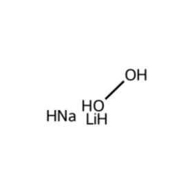 OO.[LiH].[NaH]